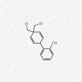 N#Cc1ccccc1C1C=CC(CBr)(CBr)C=C1